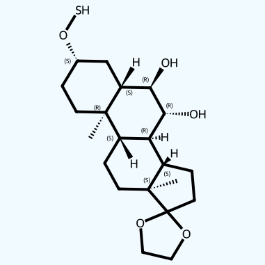 C[C@]12CC[C@H](OS)C[C@@H]1[C@@H](O)[C@H](O)[C@@H]1[C@@H]2CC[C@@]2(C)[C@H]1CCC21OCCO1